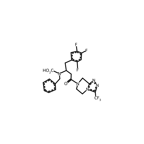 O=C(CC(Cc1cc(F)c(F)cc1F)N(Cc1ccccc1)C(=O)O)N1CCn2c(nnc2C(F)(F)F)C1